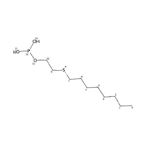 CCCCCCCCSCCOP(O)O